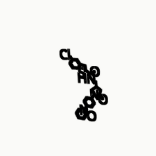 O=C(NCC1CC(=O)N(c2ccc(-n3ccccc3=O)cc2)C1)c1cc2cc(Cl)ccc2s1